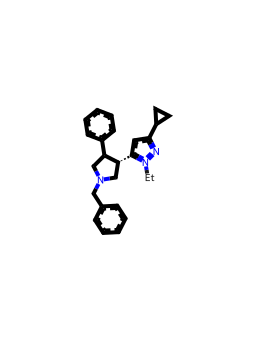 CCn1nc(C2CC2)cc1[C@@H]1CN(Cc2ccccc2)CC1c1ccccc1